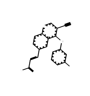 N#Cc1cnc2ccc(C=CC(N)=O)cc2c1Nc1cccc(Cl)c1